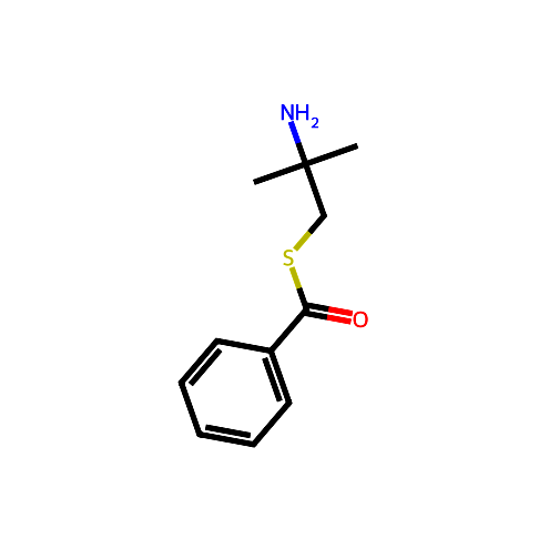 CC(C)(N)CSC(=O)c1ccccc1